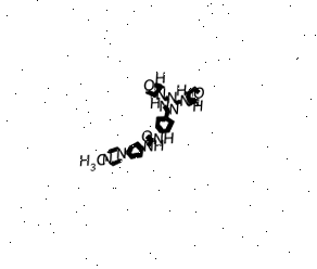 CN1CCN(c2ccc(NC(=O)Nc3ccc(-c4nc(N5C[C@@H]6C[C@H]5CO6)nc(N5C[C@@H]6C[C@H]5CO6)n4)cc3)cc2)CC1